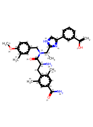 C=C(O)c1cccc(-c2c[nH]c([C@H](C)N(Cc3ccc(OC)c(C)c3)C(=O)[C@@H](N)Cc3c(C)cc(C(N)=O)cc3C)n2)c1